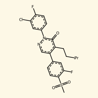 CC(C)CCc1c(-c2ccc(S(C)(=O)=O)c(F)c2)cnn(-c2ccc(F)c(Cl)c2)c1=O